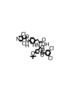 CC(C)(C)O[C@@H]1CC(C(=O)N[C@@H](Cc2ccc(NC(=O)c3c(Cl)cncc3Cl)cc2)C(=O)O)N(S(=O)(=O)c2cc(Cl)cc(Cl)c2)C1